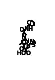 Cc1cc(N2CC(C(=O)NCC3CCCCO3)C2)nc2c1c(=O)c(C(=O)O)cn2-c1nccs1